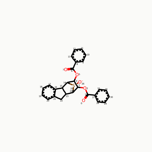 O=C(OC1C(OC(=O)c2ccccc2)C2C3c4ccccc4CC3C1[S+]2[O-])c1ccccc1